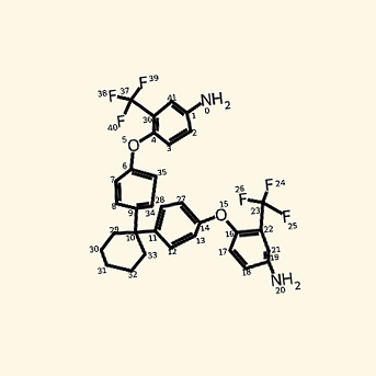 Nc1ccc(Oc2ccc(C3(c4ccc(Oc5ccc(N)cc5C(F)(F)F)cc4)CCCCC3)cc2)c(C(F)(F)F)c1